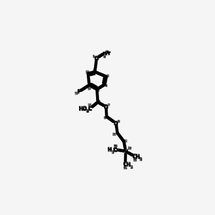 CCCOc1ccc(C(OCOCC[Si](C)(C)C)C(=O)O)c(F)c1